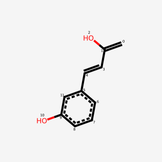 C=C(O)/C=C/c1cccc(O)c1